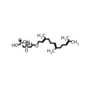 CC(C)=CCCC(C)=CCCC(C)=CCOCCP(=O)(O)CP(=O)(O)O